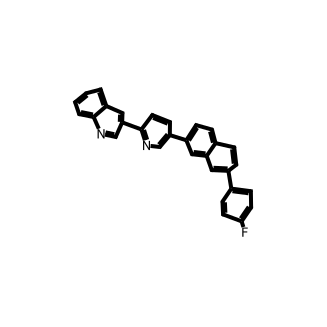 Fc1ccc(-c2ccc3ccc(-c4ccc(-c5cnc6ccccc6c5)nc4)cc3c2)cc1